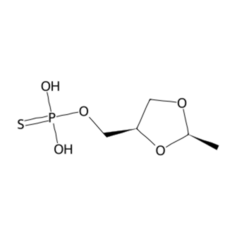 C[C@@H]1OC[C@H](COP(O)(O)=S)O1